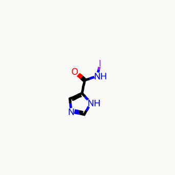 O=C(NI)c1cnc[nH]1